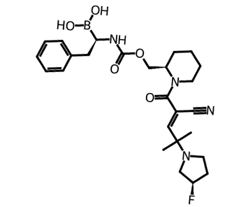 CC(C)(C=C(C#N)C(=O)N1CCCC[C@@H]1COC(=O)N[C@@H](Cc1ccccc1)B(O)O)N1CC[C@@H](F)C1